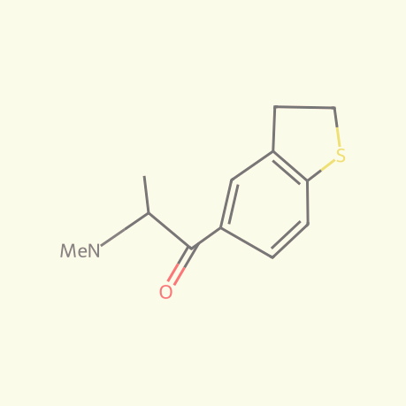 CNC(C)C(=O)c1ccc2c(c1)CCS2